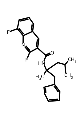 CC(C)CC(C)(Cc1ccccc1)NC(=O)c1cc2cccc(F)c2nc1F